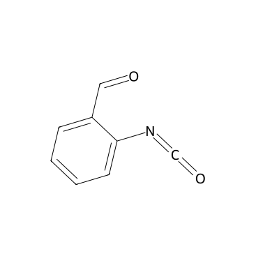 O=C=Nc1ccccc1C=O